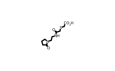 O=C(O)CSCC(=O)NCCN1CCCC1=O